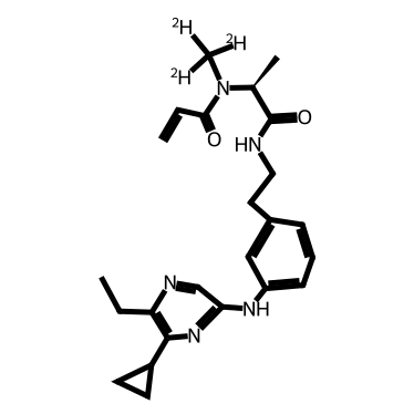 [2H]C([2H])([2H])N(C(=O)C=C)[C@@H](C)C(=O)NCCc1cccc(Nc2cnc(CC)c(C3CC3)n2)c1